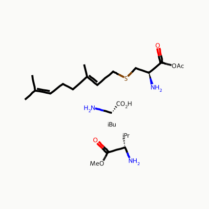 CC(=O)OC(=O)[C@@H](N)CSC/C=C(\C)CCC=C(C)C.CC[C@H](C)[C@H](N)C(=O)O.COC(=O)[C@@H](N)C(C)C